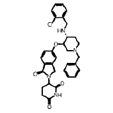 O=C1CCC(N2Cc3cc(O[C@@H]4CN(Cc5ccccc5)CC[C@H]4NCc4ccccc4Cl)ccc3C2=O)C(=O)N1